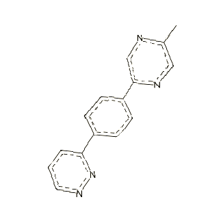 Cc1cnc(-c2ccc(-c3cccnn3)cc2)cn1